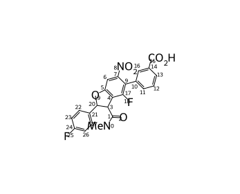 CNC(=O)C1c2c(cc([N+](=O)[O-])c(-c3cccc(C(=O)O)c3)c2F)OC1c1ccc(F)cc1